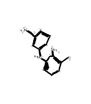 [CH2]Cc1cccc(Nc2cccc(N)c2)c1N